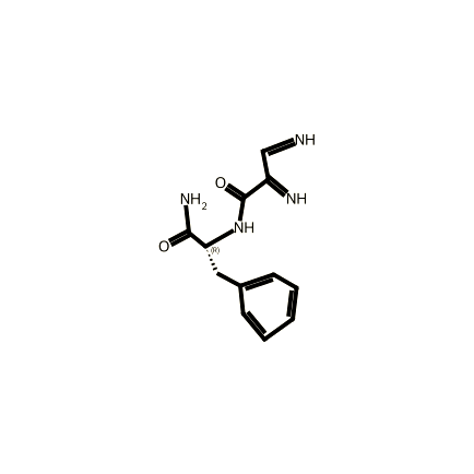 N=CC(=N)C(=O)N[C@H](Cc1ccccc1)C(N)=O